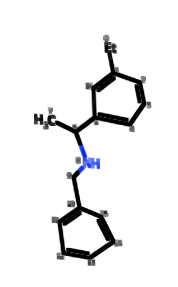 CCc1cccc(C(C)NCc2ccccc2)c1